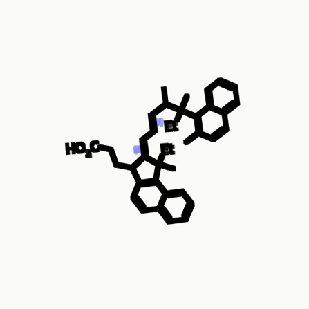 CCC1(C)/C(=C\C=C\C(C)C(C)(CC)c2c(C)ccc3ccccc23)C(CCC(=O)O)c2ccc3ccccc3c21